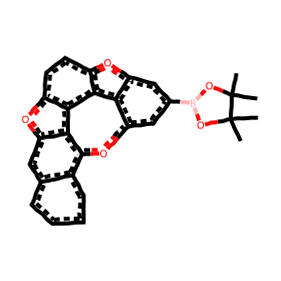 CC1(C)OB(c2cc3oc4ccc5oc6cc7ccccc7c7oc(c2)c3c4c5c67)OC1(C)C